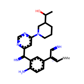 CN/C=C(\C=N)c1ccc(N)c(C(=N)c2cc(N3CCCC(C(C)O)C3)ncn2)c1